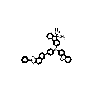 CC1(C)c2ccccc2-c2cc(N(c3ccc(-c4ccc5c(ccc6nc(-c7ccccc7)oc65)c4)cc3)c3ccc4c(c3)OC3CC=CC=C43)ccc21